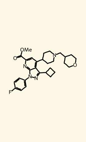 COC(=O)c1cc(C2CCN(CC3CCOCC3)CC2)c2c(C3CCC3)nn(-c3ccc(F)cc3)c2n1